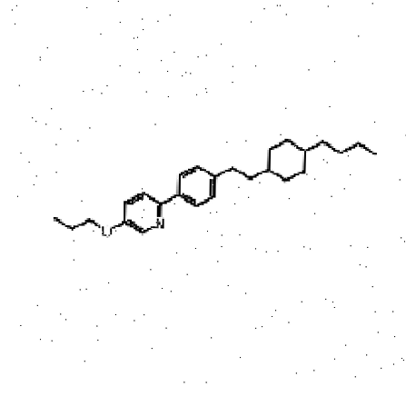 CCCCC1CCC(CCc2ccc(-c3ccc(OCCC)cn3)cc2)CC1